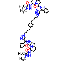 CN[C@@H](C)C(=O)NC1CCCC2CCC(C(=O)N[C@@H](c3ccccc3)c3cn(CCCCc4ccc(CCCCn5cc([C@@H](NC(=O)[C@@H]6CCC7CCCC(NC(=O)[C@H](C)NC)C(=O)N76)c6ccccc6)nn5)cc4)nn3)N2C1=O